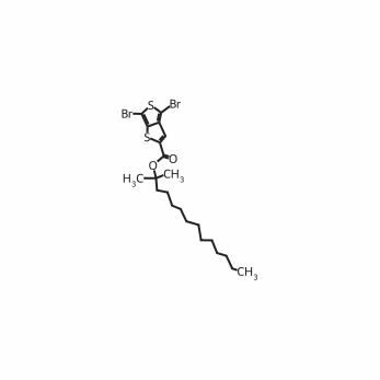 CCCCCCCCCCCCC(C)(C)OC(=O)c1cc2c(Br)sc(Br)c2s1